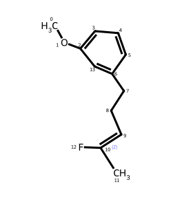 COc1cccc(CC/C=C(/C)F)c1